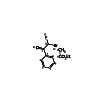 CCOC(C)=O.O=C(c1ccccc1)C(F)Br